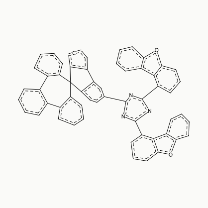 c1ccc2c(c1)-c1ccccc1C1(c3ccccc3-2)c2ccccc2-c2cc(-c3nc(-c4cccc5oc6ccccc6c45)nc(-c4cccc5oc6ccccc6c45)n3)ccc21